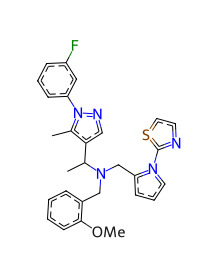 COc1ccccc1CN(Cc1cccn1-c1nccs1)C(C)c1cnn(-c2cccc(F)c2)c1C